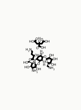 NCC[C@H](O)C(=O)N[C@@H]1C[C@H](N)[C@@H](O[C@H]2O[C@H](CN)[C@@H](O)[C@H](O)[C@H]2O)[C@H](O)[C@H]1O[C@H]1O[C@H](CO)[C@@H](O)[C@H](N)[C@H]1O.O=C(O)CC(O)(CC(=O)O)C(=O)O